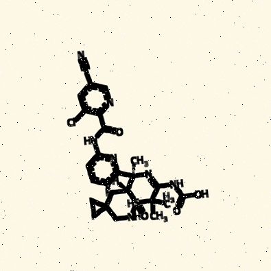 CC1(C)C(NC(=O)O)=N[C@](C)(c2nc(NC(=O)c3ncc(C#N)cc3Cl)ccc2F)[C@H]2CC3(CC3)CN[SH]21=O